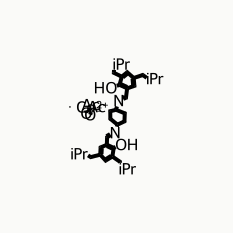 CC(=O)[O-].CC(=O)[O-].CC(C)Cc1cc(C=NC2CCC(N=Cc3cc(CC(C)C)cc(CC(C)C)c3O)CC2)c(O)c(CC(C)C)c1.[Co+2]